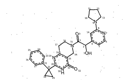 O=C(C(O)c1ccnc(N2CCCC2)c1)N1CCc2nc(C3(c4ccccc4)CC3)[nH]c(=O)c2C1